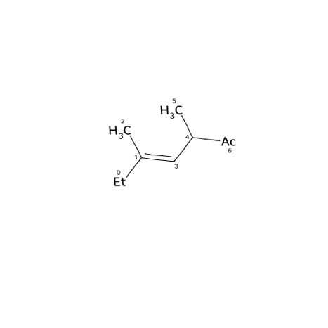 CC/C(C)=C/C(C)C(C)=O